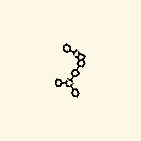 c1ccc(-c2cc(-c3ccccc3)nc(-c3ccc(-c4ccc5ccc6nc(-c7ccccc7)oc6c5c4)cc3)n2)cc1